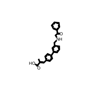 C/C(=C\c1ccc(-c2cccc(CNCC(=O)c3ccccc3)c2)cc1)C(=O)O